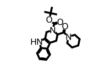 CC(C)(C)OC(=O)N1Cc2[nH]c3ccccc3c2CC1C(=O)N1CCCCC1